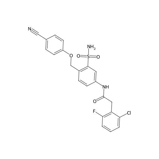 N#Cc1ccc(OCc2ccc(NC(=O)Cc3c(F)cccc3Cl)cc2S(N)(=O)=O)cc1